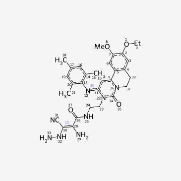 CCOc1cc2c(cc1OC)-c1c/c(=N\c3c(C)cc(C)cc3C)n(CCNC(=O)/C(N)=C(\C#N)NN)c(=O)n1CC2